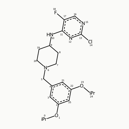 CC(C)Oc1cc(CN2CCC(Nc3nc(Cl)ncc3F)CC2)cc(OC(C)C)c1